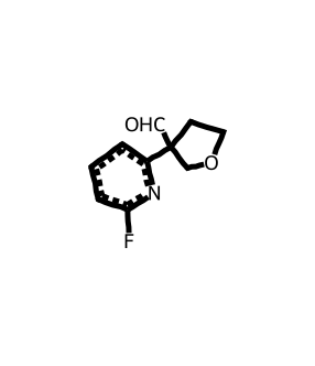 O=CC1(c2cccc(F)n2)CCOC1